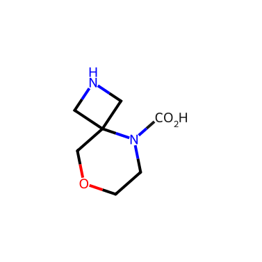 O=C(O)N1CCOCC12CNC2